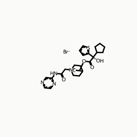 O=C(C[N+]12CCC(CC1)C(OC(=O)[C@@](O)(c1cccs1)C1CCCC1)C2)Nc1cnccn1.[Br-]